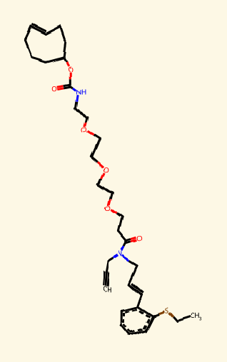 C#CCN(C/C=C/c1ccccc1SCC)C(=O)CCOCCOCCOCCNC(=O)OC1CC/C=C/CCC1